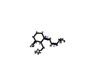 CCC1C(=O)CCC/C1=C/C=C\N